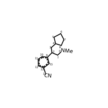 CNCC(CC1CCCC1)c1cccc(C#N)c1